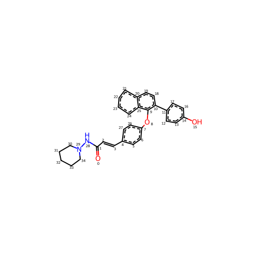 O=C(C=Cc1ccc(Oc2c(-c3ccc(O)cc3)ccc3ccccc23)cc1)NN1CCCCC1